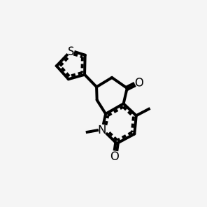 Cc1cc(=O)n(C)c2c1C(=O)CC(c1ccsc1)C2